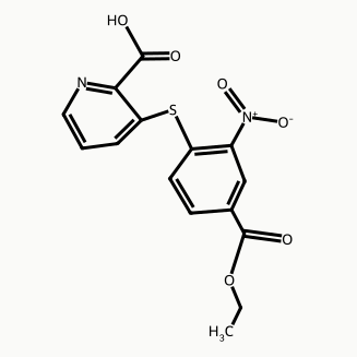 CCOC(=O)c1ccc(Sc2cccnc2C(=O)O)c([N+](=O)[O-])c1